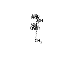 CCCCCCCCCCCCCCCCOCC(O)COP(=O)(O)O.NC(CO)C(=O)O